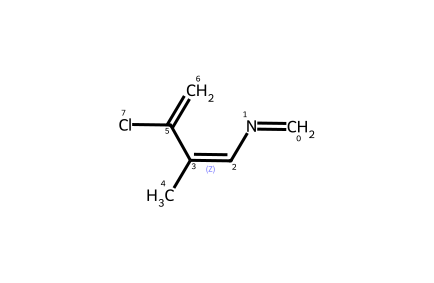 C=N/C=C(/C)C(=C)Cl